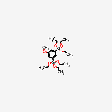 CCO[Si](OCC)(OCC)c1cc(OC)cc([Si](OCC)(OCC)OCC)c1